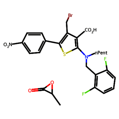 CC1OC1=O.CCCCCN(Cc1c(F)cccc1F)c1sc(-c2ccc([N+](=O)[O-])cc2)c(CBr)c1C(=O)O